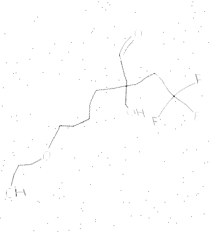 CCOCCCC(O)(C=O)CC(F)(F)F